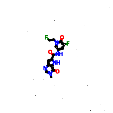 Cn1cnc2cc(C(=O)Nc3cc(F)c(=O)n(CCF)c3)[nH]c2c1=O